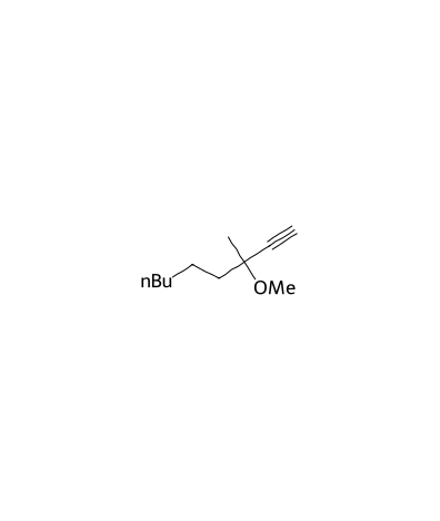 C#CC(C)(CCCCCC)OC